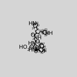 O=C(CNC(=O)C(CCC1CCNCC1)CCC1CCNCC1)NCC(NS(=O)(=O)c1ccc(F)c2ccccc12)C(=O)O